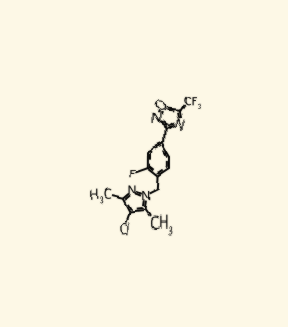 Cc1nn(Cc2ccc(-c3noc(C(F)(F)F)n3)cc2F)c(C)c1Cl